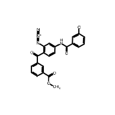 COC(=O)c1cccc(C(=O)c2ccc(NC(=O)c3cccc(Cl)c3)cc2N=[N+]=[N-])c1